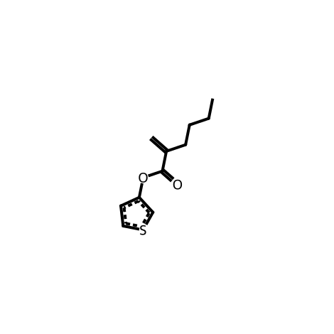 C=C(CCCC)C(=O)Oc1ccsc1